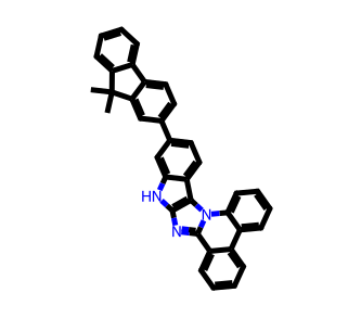 CC1(C)c2ccccc2-c2ccc(-c3ccc4c(c3)[nH]c3nc5c6ccccc6c6ccccc6n5c34)cc21